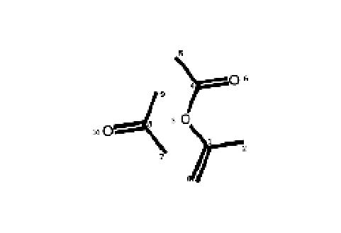 C=C(C)OC(C)=O.CC(C)=O